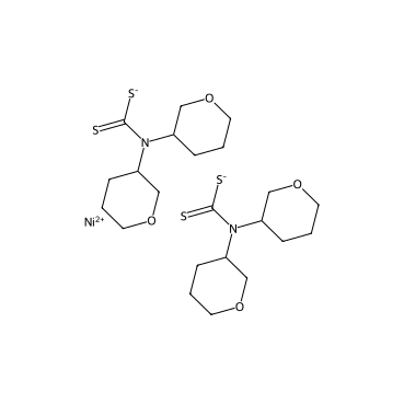 S=C([S-])N(C1CCCOC1)C1CCCOC1.S=C([S-])N(C1CCCOC1)C1CCCOC1.[Ni+2]